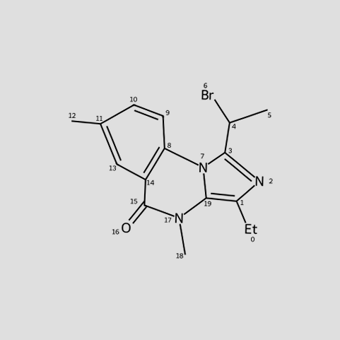 CCc1nc(C(C)Br)n2c3ccc(C)cc3c(=O)n(C)c12